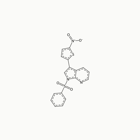 O=[N+]([O-])c1ccc(-c2cn(S(=O)(=O)c3ccccc3)c3ncccc23)s1